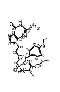 CCOC(=O)C(C)NP(=O)(COCCn1cnc2c(=O)[nH]c(N)nc21)OCc1ccc(SC)cc1